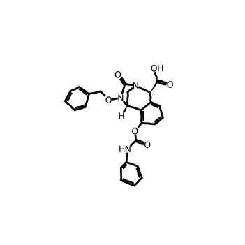 O=C(Nc1ccccc1)Oc1cccc2c1[C@H]1CN(C(=O)N1OCc1ccccc1)[C@H]2C(=O)O